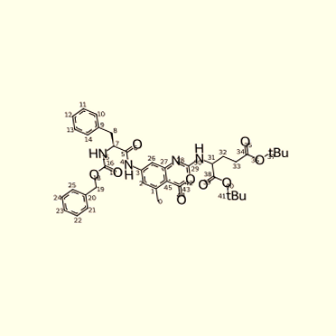 Cc1cc(NC(=O)[C@H](Cc2ccccc2)NC(=O)OCc2ccccc2)cc2nc(NC(CCC(=O)OC(C)(C)C)C(=O)OC(C)(C)C)oc(=O)c12